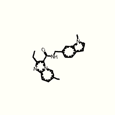 CCc1nc2ccc(C)cn2c1C(=O)NCc1ccc2ccn(C)c2c1